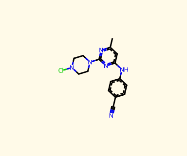 Cc1cc(Nc2ccc(C#N)cc2)nc(N2CCN(Cl)CC2)n1